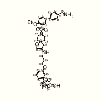 CCOc1ccc(-c2ccc(CN)cc2)cc1S(=O)(=O)N1CCC2(CC1)C[C@@H](NCCCOc1cccc(S(=O)(=O)C(F)(F)CO)c1)CO2